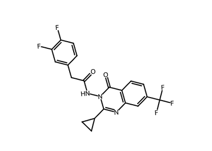 O=C(Cc1ccc(F)c(F)c1)Nn1c(C2CC2)nc2cc(C(F)(F)F)ccc2c1=O